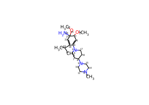 COC1C=C(N2CCC(N3CCN(C)CC3)CC2)C(C(C)C)=CC1(N)OC